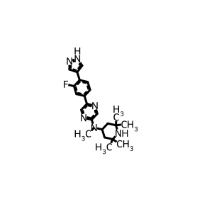 CN(c1cnc(-c2ccc(-c3cn[nH]c3)c(F)c2)cn1)C1CC(C)(C)NC(C)(C)C1